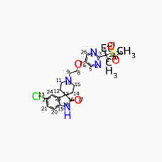 CCC(C)(c1ncc(OCCN2CCC3(CC2)C(=O)Nc2ccc(Cl)cc23)cn1)S(C)(=O)=O